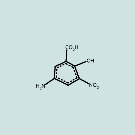 Nc1cc(C(=O)O)c(O)c([N+](=O)[O-])c1